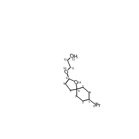 CC(C)C1CCC2(CC1)CC[C@@H](OCCO)O2